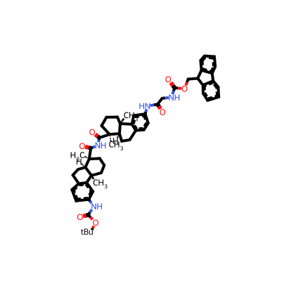 CC(C)(C)OC(=O)Nc1ccc2c(c1)[C@@]1(C)CCC[C@](C)(C(=O)NC(=O)[C@@]3(C)CCC[C@]4(C)c5cc(NC(=O)CNC(=O)OCC6c7ccccc7-c7ccccc76)ccc5CC[C@@H]34)[C@@H]1CC2